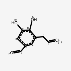 C=CCc1cc(C=O)cc(O)c1O